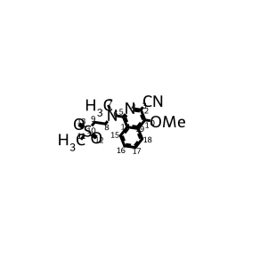 COc1c(C#N)nc(N(C)CCS(C)(=O)=O)c2ccccc12